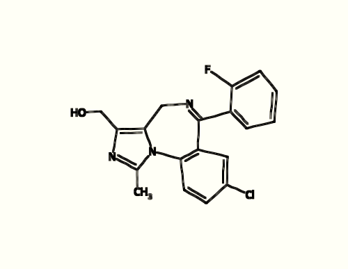 Cc1nc(CO)c2n1-c1ccc(Cl)cc1C(c1ccccc1F)=NC2